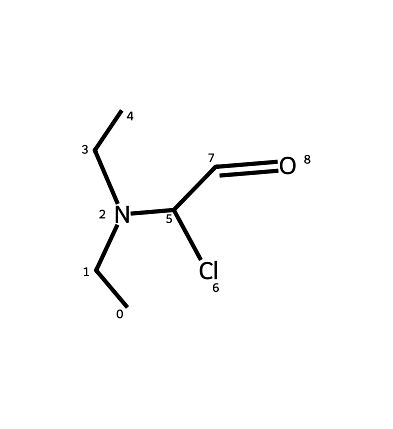 CCN(CC)C(Cl)C=O